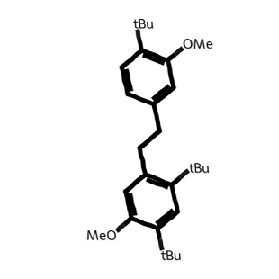 COc1cc(CCc2cc(OC)c(C(C)(C)C)cc2C(C)(C)C)ccc1C(C)(C)C